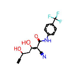 C#CC(O)C/C(O)=C(\C#N)C(=O)Nc1ccc(C(F)(F)F)cc1